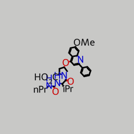 CCCNC(=O)NC(C(=O)N1CC(Oc2cc(-c3ccccc3)nc3cc(OC)ccc23)CC1C(=O)O)C(C)C